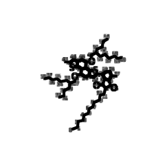 CCCCCCCCCCCCC1C(=O)c2c(C)ccc(-c3cc4cc(OCC(CCCC)CCCCCC)c5c6sc(C)cc6cc(OCC(CCCC)CCCCCC)c5c4s3)c2C1=O